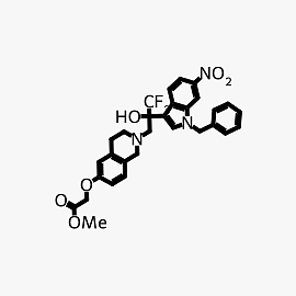 COC(=O)COc1ccc2c(c1)CCN(CC(O)(c1cn(Cc3ccccc3)c3cc([N+](=O)[O-])ccc13)C(F)(F)F)C2